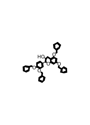 O[C@H]1Cc2c(OCc3ccccc3)cc(OCc3ccccc3)cc2O[C@H]1c1ccc(OCc2ccccc2)c(OCc2ccccc2)c1